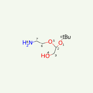 CC(C)(C)OC(CO)OCCN